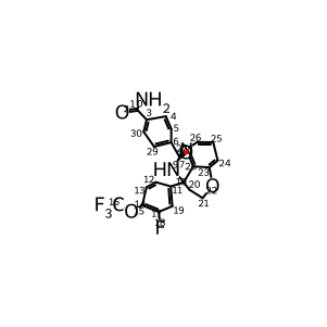 NC(=O)c1ccc(C(=O)NC2(c3ccc(OC(F)(F)F)c(F)c3)CCOc3cccnc32)cc1